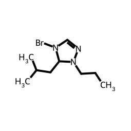 CCCN1N=CN(Br)C1CC(C)C